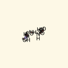 O=C(CCCCCCCNc1ccc2c(c1)C(=O)N(C1CCC(=O)NC1=O)C2=O)NCCc1cccc(N2C[C@H]3C[C@@H]2CN3/C=C/C(=O)c2ccccc2O)c1